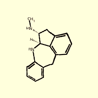 CN[C@@H]1Cc2cccc3c2[C@H]1Nc1ccccc1C3